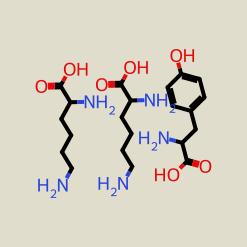 NC(Cc1ccc(O)cc1)C(=O)O.NCCCCC(N)C(=O)O.NCCCCC(N)C(=O)O